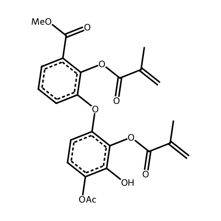 C=C(C)C(=O)Oc1c(Oc2ccc(OC(C)=O)c(O)c2OC(=O)C(=C)C)cccc1C(=O)OC